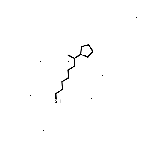 CC(CCCCCCS)C1CCCC1